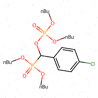 CCCCOP(=O)(OCCCC)OC(c1ccc(Cl)cc1)P(=O)(OCCCC)OCCCC